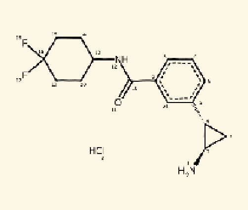 Cl.N[C@@H]1C[C@H]1c1cccc(C(=O)NC2CCC(F)(F)CC2)c1